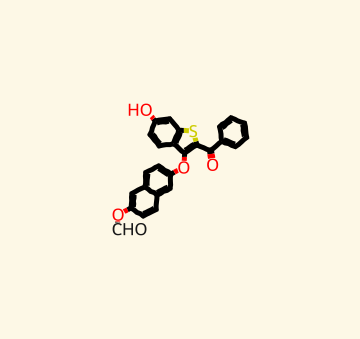 O=COc1ccc2cc(Oc3c(C(=O)c4ccccc4)sc4cc(O)ccc34)ccc2c1